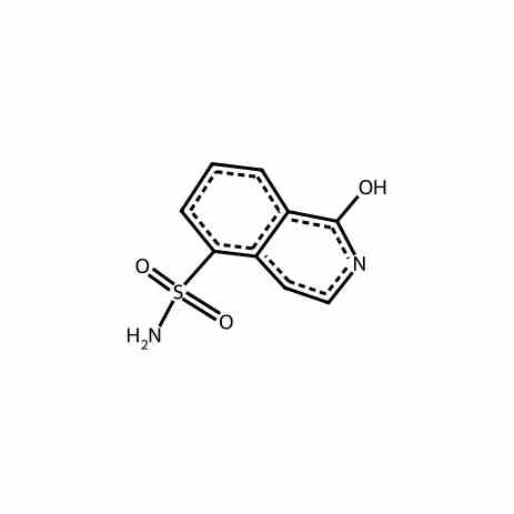 NS(=O)(=O)c1cccc2c(O)nccc12